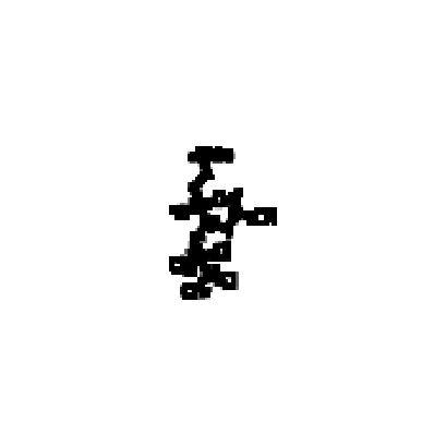 CSCCS(=O)(=O)N(CC(C)C#N)SC(Cl)(Cl)C(Cl)Cl